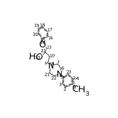 Cc1ccc(N2CCN(CCC(O)COc3ccccc3)CC2)cc1